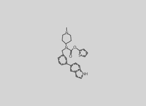 CN1CCC(N(Cc2cccc(-c3ccc4[nH]ccc4c3)c2)C(=O)Oc2cccs2)CC1